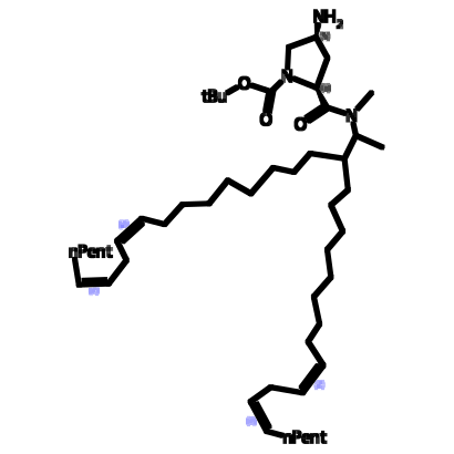 CCCCC/C=C\C/C=C\CCCCCCCCC(CCCCCCCC/C=C\C/C=C\CCCCC)C(C)N(C)C(=O)[C@@H]1C[C@H](N)CN1C(=O)OC(C)(C)C